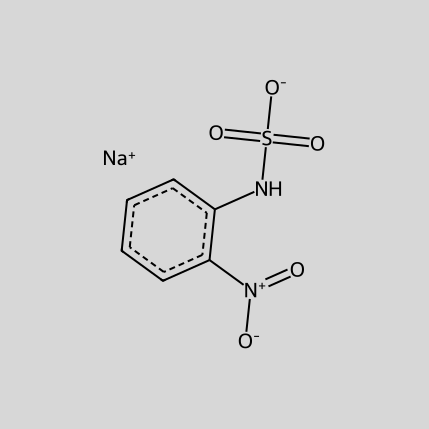 O=[N+]([O-])c1ccccc1NS(=O)(=O)[O-].[Na+]